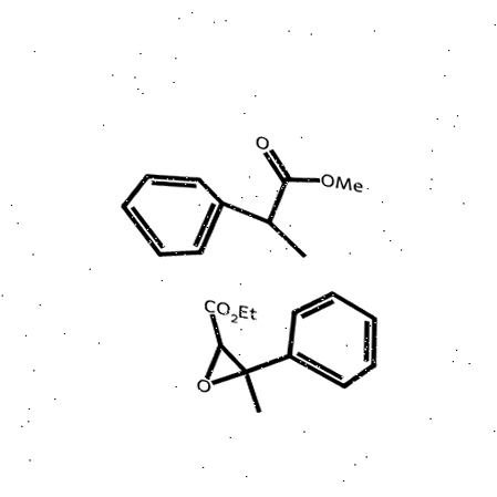 CCOC(=O)C1OC1(C)c1ccccc1.COC(=O)C(C)c1ccccc1